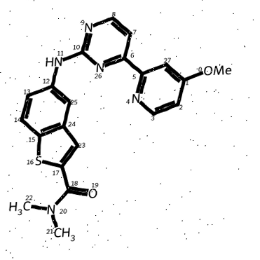 COc1ccnc(-c2ccnc(Nc3ccc4sc(C(=O)N(C)C)cc4c3)n2)c1